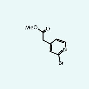 COC(=O)Cc1ccnc(Br)c1